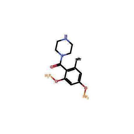 CCCc1cc(OP)cc(OP)c1C(=O)N1CCNCC1